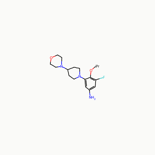 CC(C)Oc1c(F)cc(N)cc1N1CCC(N2CCOCC2)CC1